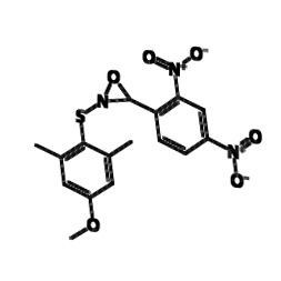 COc1cc(C)c(SN2OC2c2ccc([N+](=O)[O-])cc2[N+](=O)[O-])c(C)c1